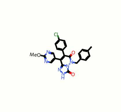 COc1ncc(-c2c(-c3ccc(Cl)cc3)c(=O)n(Cc3ccc(C)cc3)n3c(=O)[nH]nc23)cn1